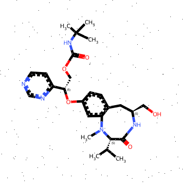 CC(C)[C@H]1C(=O)N[C@H](CO)Cc2ccc(O[C@@H](COC(=O)NC(C)(C)C)c3ccncn3)cc2N1C